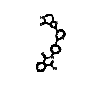 O=C(O)c1ccccc1C(=O)Nc1ccc(-c2nccc(-c3cc4n(n3)CCNC4=O)n2)cc1